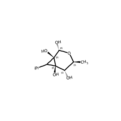 CC(C)C1[C@@]2(O)[C@@H](O)[C@H](C)O[C@@H](O)[C@@]12O